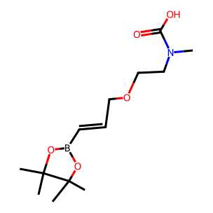 CN(CCOCC=CB1OC(C)(C)C(C)(C)O1)C(=O)O